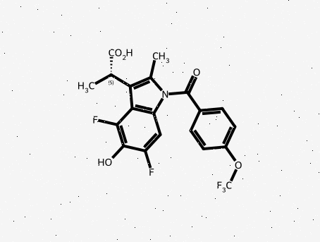 Cc1c([C@H](C)C(=O)O)c2c(F)c(O)c(F)cc2n1C(=O)c1ccc(OC(F)(F)F)cc1